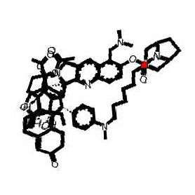 C=C1OCc2c(cc3n(c2=O)Cc2cc4c(CN(C)C)c(OC(=O)N5C6CCC5CN(CCCCCCN(C)c5ccc([C@H]7C[C@@]8(C)[C@@H](CC[C@]8(OC(C)=O)C(C)=O)[C@@H]8CCC9=CC(=O)CCC9=C87)cc5)C6)ccc4nc2-3)[C@@]1(O)CC